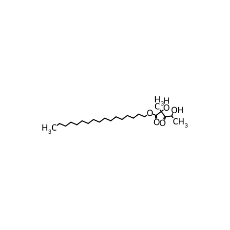 CCCCCCCCCCCCCCCCCOC(=O)C(C)(O)C(=O)C(C)O